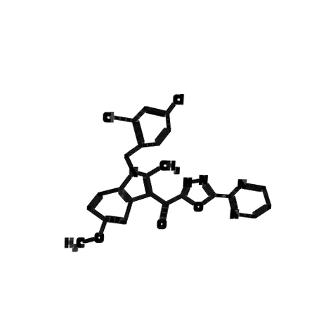 COc1ccc2c(c1)c(C(=O)c1nnc(-c3ncccn3)o1)c(C)n2Cc1ccc(Cl)cc1Cl